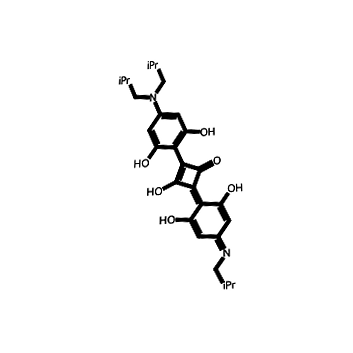 CC(C)CN=C1C=C(O)C(=C2C(=O)C(c3c(O)cc(N(CC(C)C)CC(C)C)cc3O)=C2O)C(O)=C1